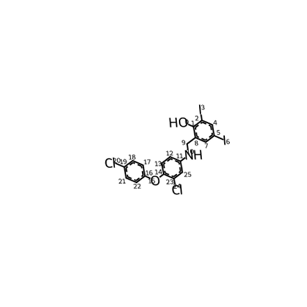 Oc1c(I)cc(I)cc1CNc1ccc(Oc2ccc(Cl)cc2)c(Cl)c1